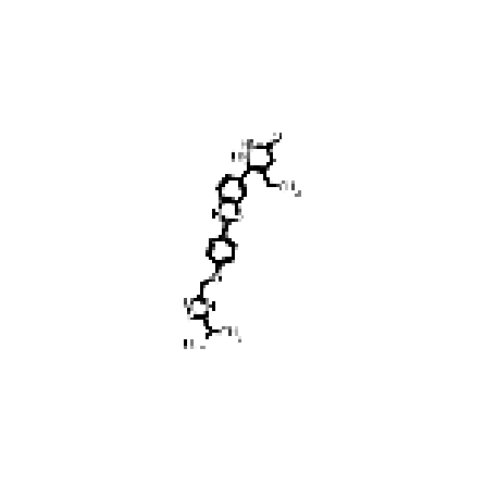 CCC1=C(c2ccc3nc(-c4ccc(OCc5nc(C(C)C)no5)cc4)oc3c2)NNC(=O)C1